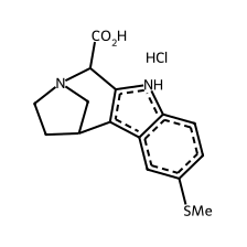 CSc1ccc2[nH]c3c(c2c1)C1CCN(C1)C3C(=O)O.Cl